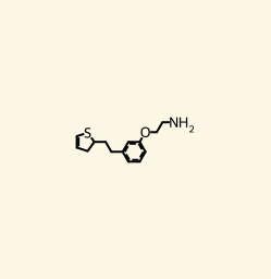 NCCOc1cccc(CCC2CC=CS2)c1